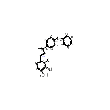 O=C(/C=C/c1ccc(O)c(Cl)c1Cl)c1ccc(Oc2ccccc2)cc1